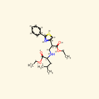 CCOC(=O)C(CC(C)C)NCC(C(=O)OCC)c1csc(-c2ccccc2)n1